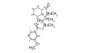 COc1cccc(C(=O)CN(C)C(=O)C(C)(C2CCCCC2)N(C)C=O)c1